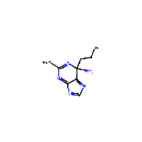 CSC1=NC(N)(CCC(C)C)C2=NC=NC2=N1